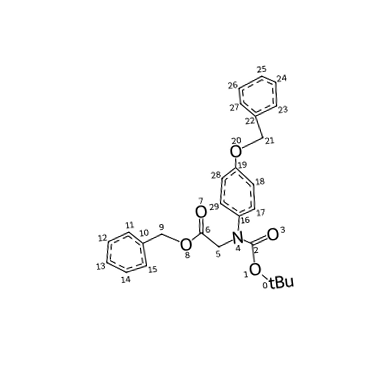 CC(C)(C)OC(=O)N(CC(=O)OCc1ccccc1)c1ccc(OCc2ccccc2)cc1